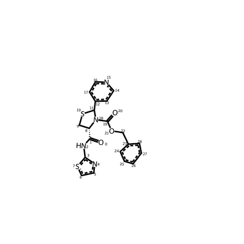 O=C(Nc1nccs1)[C@@H]1CSC(c2ccncc2)N1C(=O)OCc1ccccc1